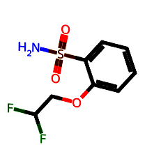 NS(=O)(=O)c1ccccc1OCC(F)F